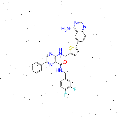 Nc1ncnc2ccc(-c3ccc(CNc4ncc(-c5ccccc5)nc4C(=O)NCc4ccc(F)c(F)c4)s3)cc12